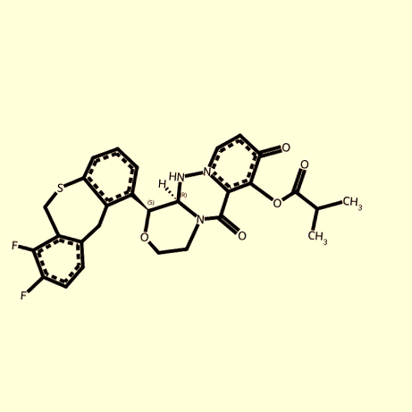 CC(C)C(=O)Oc1c2n(ccc1=O)N[C@@H]1[C@H](c3cccc4c3Cc3ccc(F)c(F)c3CS4)OCCN1C2=O